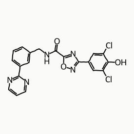 O=C(NCc1cccc(-c2ncccn2)c1)c1nc(-c2cc(Cl)c(O)c(Cl)c2)no1